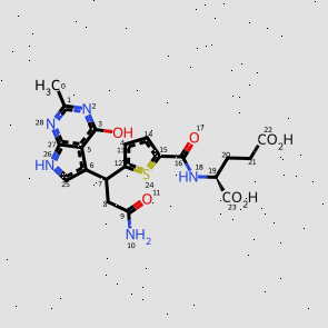 Cc1nc(O)c2c(C(CC(N)=O)c3ccc(C(=O)N[C@@H](CCC(=O)O)C(=O)O)s3)c[nH]c2n1